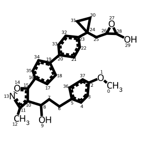 COc1ccc(CCC(O)c2c(C)noc2-c2ccc(-c3ccc(C4(CC5OC5O)CC4)cc3)cc2)cc1